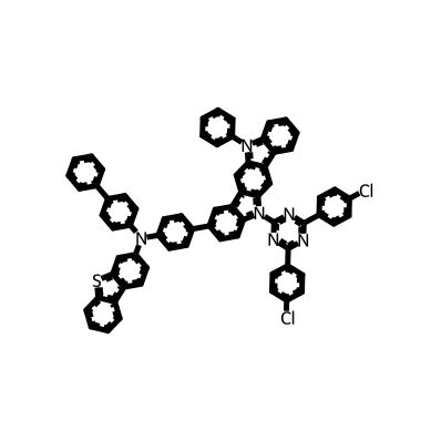 Clc1ccc(-c2nc(-c3ccc(Cl)cc3)nc(-n3c4ccc(-c5ccc(N(c6ccc(-c7ccccc7)cc6)c6ccc7c(c6)sc6ccccc67)cc5)cc4c4cc5c(cc43)c3ccccc3n5-c3ccccc3)n2)cc1